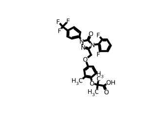 Cc1cc(OCc2nn(-c3ccc(C(F)(F)F)cc3)c(=O)n2-c2c(F)cccc2F)ccc1OC(C)(C)C(=O)O